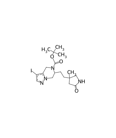 CC1(CCC2Cn3ncc(I)c3CN2C(=O)OC(C)(C)C)CNC(=O)C1